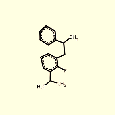 CC(C)c1cccc(CC(C)c2ccccc2)c1F